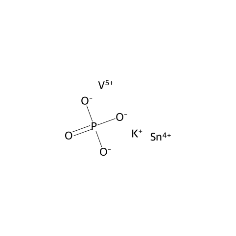 O=P([O-])([O-])[O-].[K+].[Sn+4].[V+5]